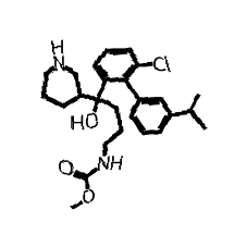 COC(=O)NCCCC(O)(c1cccc(Cl)c1-c1cccc(C(C)C)c1)C1CCCNC1